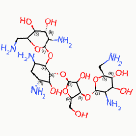 NCC1O[C@H](O[C@@H]2C(N)C[C@@H](N)C(O)[C@H]2O[C@@H]2O[C@H](CO)[C@H](O[C@@H]3O[C@@H](CN)[C@H](O)C(O)C3N)C2O)C(N)[C@@H](O)[C@@H]1O